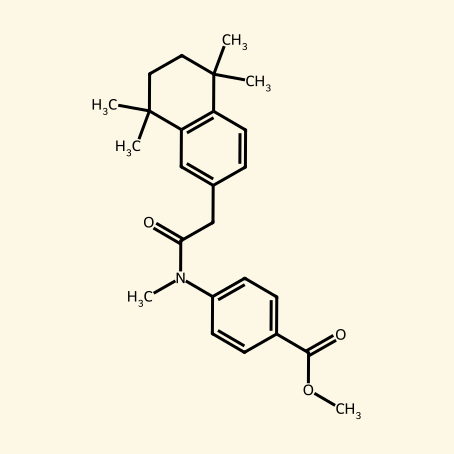 COC(=O)c1ccc(N(C)C(=O)Cc2ccc3c(c2)C(C)(C)CCC3(C)C)cc1